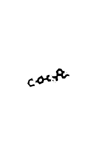 COc1ccc2c(-c3cnn4cc(-c5ccc(N6[C@H](C)CCC[C@@H]6C)cc5)cnc34)cccc2n1